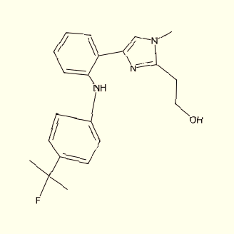 Cn1cc(-c2ccccc2Nc2ccc(C(C)(C)F)cc2)nc1CCO